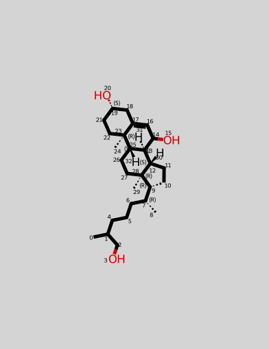 CC(CO)CCC[C@@H](C)[C@H]1CC[C@H]2[C@@H]3C(O)C=C4C[C@@H](O)CC[C@]4(C)[C@H]3CC[C@]12C